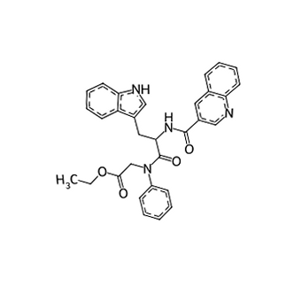 CCOC(=O)CN(C(=O)C(Cc1c[nH]c2ccccc12)NC(=O)c1cnc2ccccc2c1)c1ccccc1